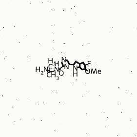 COc1cc2[nH]c(-c3cncc(C(=O)NCC(C)(C)N)n3)cc2cc1F